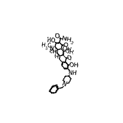 CN(C)[C@@H]1C(O)=C(C(N)=O)C(=O)[C@@]2(O)C(O)=C3C(=O)c4c(ccc(NC5CCN(Cc6ccccc6)CC5)c4O)C[C@H]3C[C@@H]12